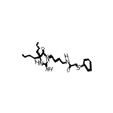 CCCCC1(CCCC)NC(=N)N(CCCCNC(=O)CSc2ccccc2)C1=O